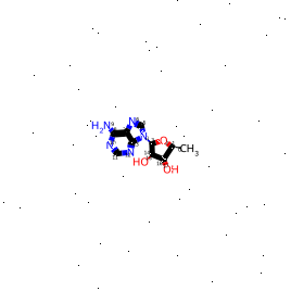 C[C@H]1O[C@@H](n2cnc3c(N)ncnc32)[C@@H](O)C1O